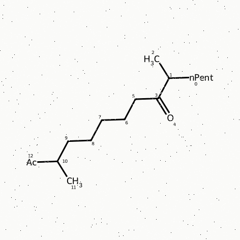 CCCCCC(C)C(=O)CCCCCC(C)C(C)=O